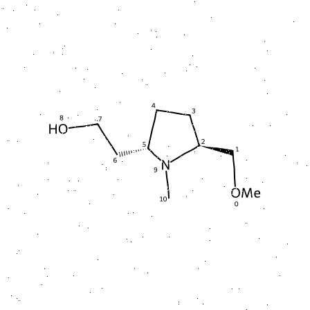 COC[C@@H]1CC[C@@H](CCO)N1C